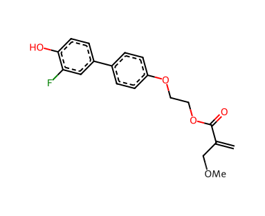 C=C(COC)C(=O)OCCOc1ccc(-c2ccc(O)c(F)c2)cc1